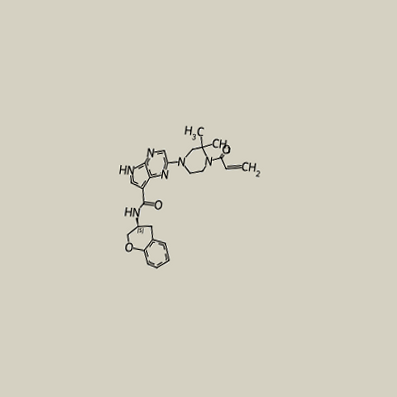 C=CC(=O)N1CCN(c2cnc3[nH]cc(C(=O)N[C@@H]4COc5ccccc5C4)c3n2)CC1(C)C